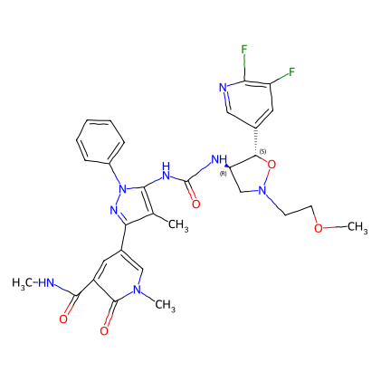 CNC(=O)c1cc(-c2nn(-c3ccccc3)c(NC(=O)N[C@@H]3CN(CCOC)O[C@H]3c3cnc(F)c(F)c3)c2C)cn(C)c1=O